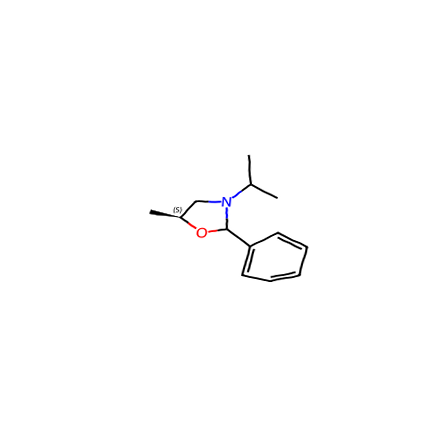 CC(C)N1C[C@H](C)OC1c1ccccc1